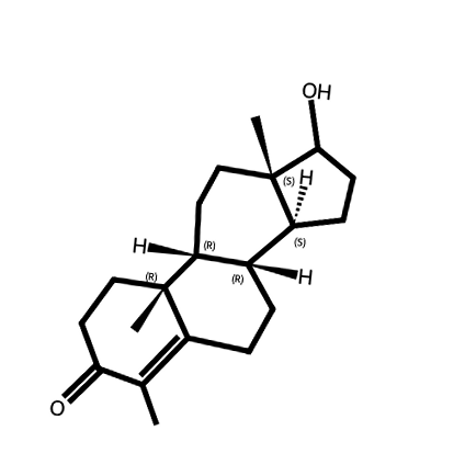 CC1=C2CC[C@@H]3[C@@H](CC[C@]4(C)C(O)CC[C@@H]34)[C@@]2(C)CCC1=O